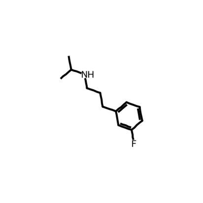 CC(C)NCCCc1cccc(F)c1